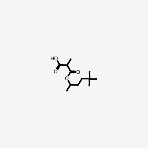 CC(CCC(C)(C)C)OC(=O)C(C)C(=O)O